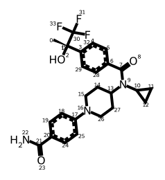 C[C@](O)(c1ccc(C(=O)N(C2CC2)C2CCN(c3ccc(C(N)=O)cc3)CC2)cc1)C(F)(F)F